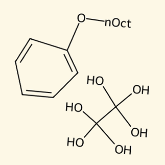 CCCCCCCCOc1ccccc1.OC(O)(O)C(O)(O)O